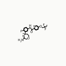 C[C@@]1(c2cc(NC(=O)c3ccc(OCC(F)(F)F)cn3)ccc2F)CCOCC(N)=N1